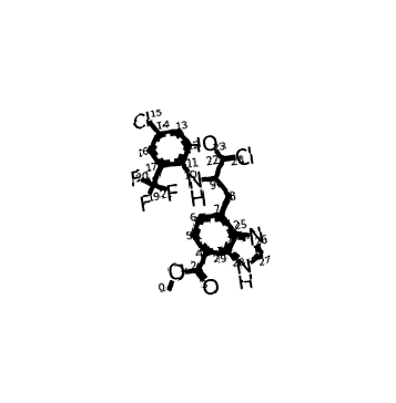 COC(=O)c1ccc(CC(Nc2ccc(Cl)cc2C(F)(F)F)C(O)Cl)c2nc[nH]c12